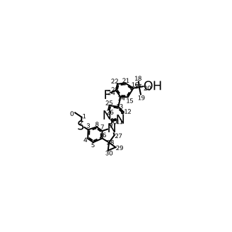 CCSc1ccc2c(c1)N(c1ncc(-c3cc(C(C)(C)O)ccc3F)cn1)CC21CC1